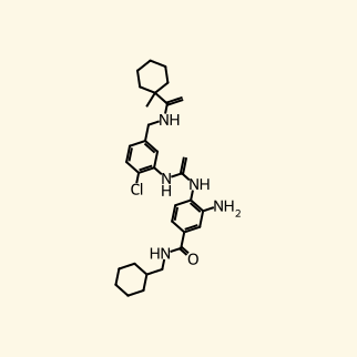 C=C(Nc1ccc(C(=O)NCC2CCCCC2)cc1N)Nc1cc(CNC(=C)C2(C)CCCCC2)ccc1Cl